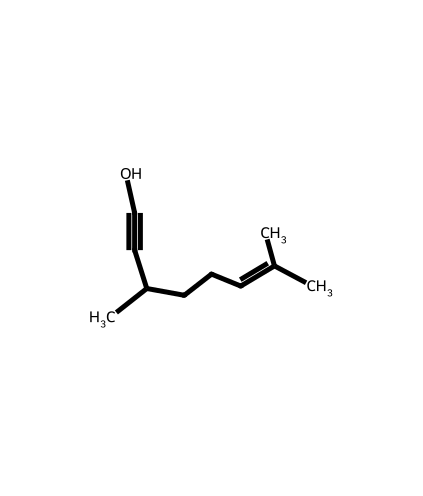 CC(C)=CCCC(C)C#CO